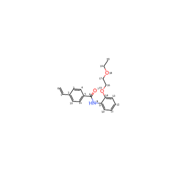 C=Cc1ccc(C(=O)Nc2ccccc2OCCOCC)cc1